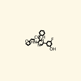 O=C(O)/C(=C/c1ccco1)Nc1ncc(-c2cc(O)cc(F)c2)nc1Cc1ccccc1